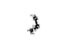 CC(C)(C)c1cc(NC(=O)c2cncc(C#Cc3cnc(N)cn3)c2)n[nH]1